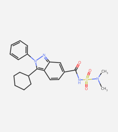 CN(C)S(=O)(=O)NC(=O)c1ccc2c(C3CCCCC3)n(-c3ccccc3)nc2c1